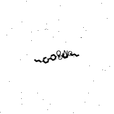 CCCCOc1ccc(OC(=O)[C@H]2CC[C@H]([C@H]3CC[C@H](CCCC)CC3)CC2)cn1